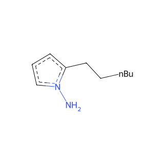 CCCCCCc1cccn1N